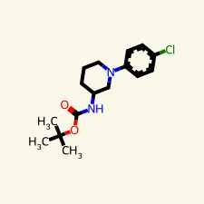 CC(C)(C)OC(=O)NC1CCCN(c2ccc(Cl)cc2)C1